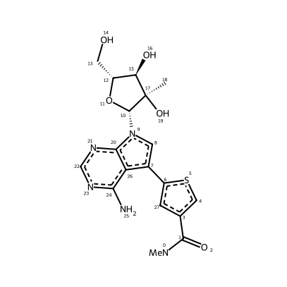 CNC(=O)c1csc(-c2cn([C@@H]3O[C@H](CO)[C@@H](O)[C@@]3(C)O)c3ncnc(N)c23)c1